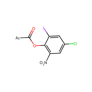 CC(=O)C(=O)Oc1c(I)cc(Cl)cc1[N+](=O)[O-]